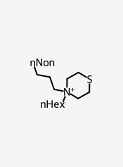 CCCCCCCCCCCC[N+]1(CCCCCC)CCSCC1